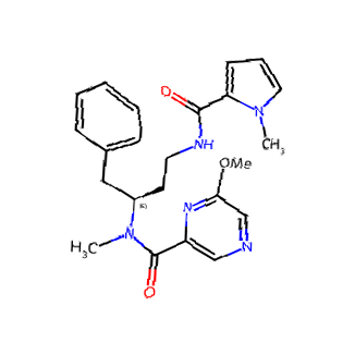 COc1cncc(C(=O)N(C)[C@H](CCNC(=O)c2cccn2C)Cc2ccccc2)n1